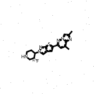 Cc1cn2nc(-c3cc4cn(C5CCNC[C@H]5F)nc4s3)cc(C)c2n1